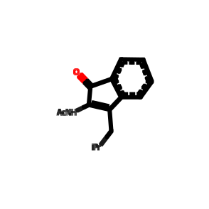 CC(=O)NC1=C(CC(C)C)c2ccccc2C1=O